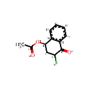 CC(=O)OC1CC(F)C(=O)c2ccccc21